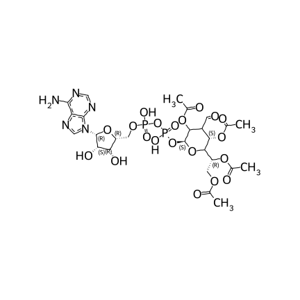 CC(=O)OC[C@@H](OC(C)=O)C1O[C@@H](OP(=O)(O)OP(=O)(O)OC[C@H]2O[C@@H](n3cnc4c(N)ncnc43)[C@@H](O)[C@H]2O)C(OC(C)=O)C(C=O)[C@@H]1OC(C)=O